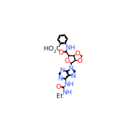 CCNC(=O)Nc1ncnc2c1ncn2C1OC(C(=O)Nc2ccccc2C(=O)O)C2OCOC21